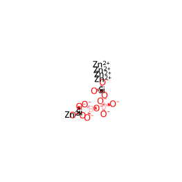 O=[Si]([O-])[O-].O=[Si]([O-])[O-].[O-]B([O-])[O-].[O-]B([O-])[O-].[Zn+2].[Zn+2].[Zn+2].[Zn+2].[Zn+2]